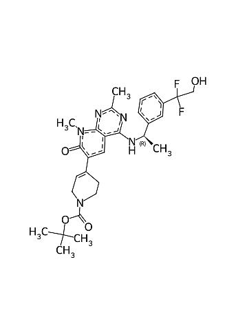 Cc1nc(N[C@H](C)c2cccc(C(F)(F)CO)c2)c2cc(C3=CCN(C(=O)OC(C)(C)C)CC3)c(=O)n(C)c2n1